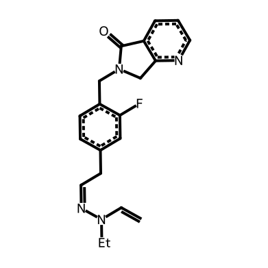 C=CN(CC)/N=C\Cc1ccc(CN2Cc3ncccc3C2=O)c(F)c1